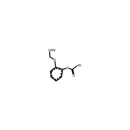 CCCC(=O)Oc1ccccc1OCOC